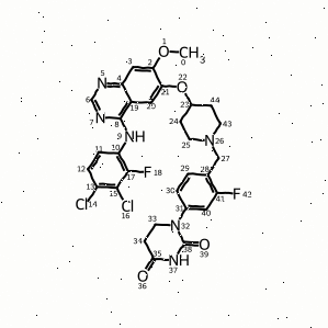 COc1cc2ncnc(Nc3ccc(Cl)c(Cl)c3F)c2cc1OC1CCN(Cc2ccc(N3CCC(=O)NC3=O)cc2F)CC1